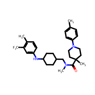 Cc1ccc(N2CCC(C)(C(=O)N(C)CC3CCC(Nc4ccc(C)c(C(F)(F)F)c4)CC3)CC2)cc1